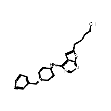 OCCCCc1cc2c(NC3CCN(Cc4ccccc4)CC3)ncnc2s1